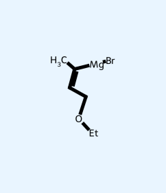 CCOCC=[C](C)[Mg][Br]